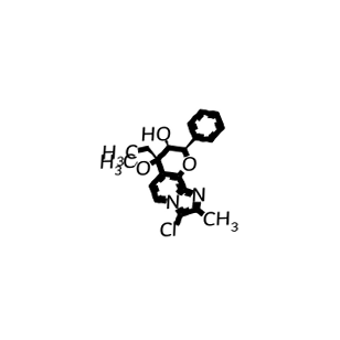 CC[C@]1(OC)c2ccn3c(Cl)c(C)nc3c2O[C@H](c2ccccc2)[C@H]1O